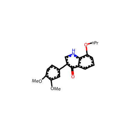 CCCOc1cccc2c(=O)c(-c3ccc(OC)c(OC)c3)c[nH]c12